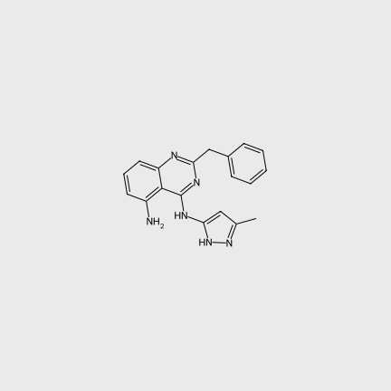 Cc1cc(Nc2nc(Cc3ccccc3)nc3cccc(N)c23)[nH]n1